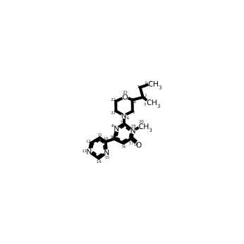 CCC(C)C1CN(c2nc(-c3ccncn3)cc(=O)n2C)CCO1